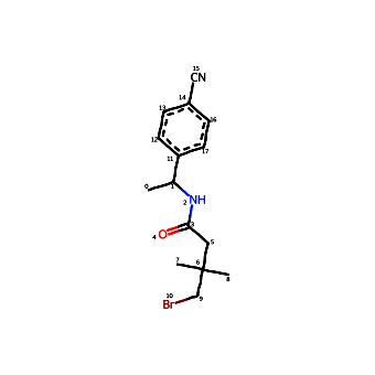 CC(NC(=O)CC(C)(C)CBr)c1ccc(C#N)cc1